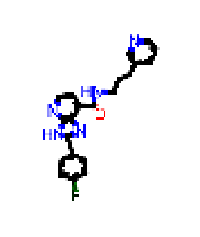 O=C(NCCCc1cccnc1)c1ccnc2[nH]c(-c3ccc(F)cc3)nc12